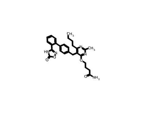 CCCCc1nc(C)nc(OCCCC(N)=O)c1Cc1ccc(-c2ccccc2-c2noc(=O)[nH]2)cc1